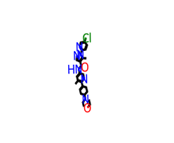 Cc1cc(NC(=O)c2cnn(-c3ccc(Cl)cn3)c2C)cnc1C1=CCC(N2CCOCC2)CC1